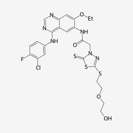 CCOc1cc2ncnc(Nc3ccc(F)c(Cl)c3)c2cc1NC(=O)Cn1nc(SCCOCCO)sc1=S